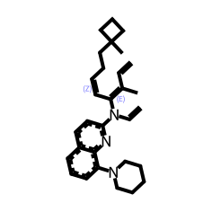 C=C/C(C)=C(\C=C/CCC1(C)CCC1)N(C=C)c1ccc2cccc(N3CCCCC3)c2n1